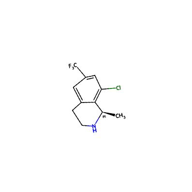 C[C@H]1NCCc2cc(C(F)(F)F)cc(Cl)c21